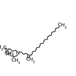 CCCCCCCCCCCCCCCCN(C)CCCN(CCCN(C)C)CC(C)O